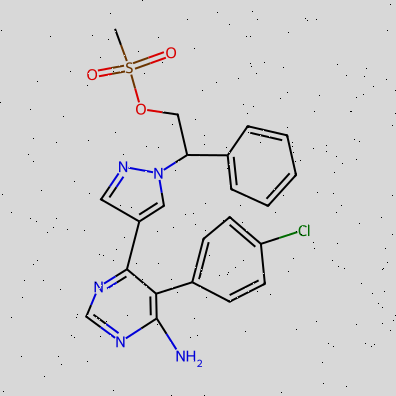 CS(=O)(=O)OCC(c1ccccc1)n1cc(-c2ncnc(N)c2-c2ccc(Cl)cc2)cn1